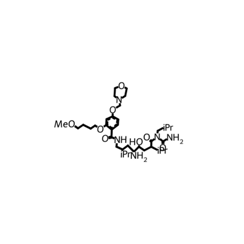 COCCCCOc1cc(OCN2CCOCC2)ccc1C(=O)NCC(CC(N)C(O)CC(C(=O)N(CC(C)C)C(N)=O)C(C)C)C(C)C